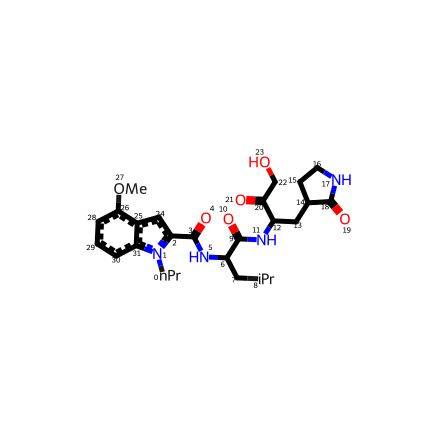 CCCn1c(C(=O)NC(CC(C)C)C(=O)NC(CC2CCNC2=O)C(=O)CO)cc2c(OC)cccc21